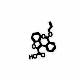 C=CCOC(=O)c1ccccc1-c1c(C(=O)O)oc2ccccc12